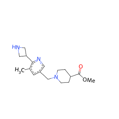 COC(=O)C1CCN(Cc2cnc(C3CNC3)c(C)c2)CC1